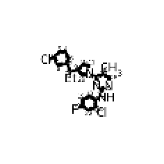 CCC(c1cccc(Cl)c1)c1ccn(-c2nc(Nc3ccc(F)cc3Cl)ncc2C)c1